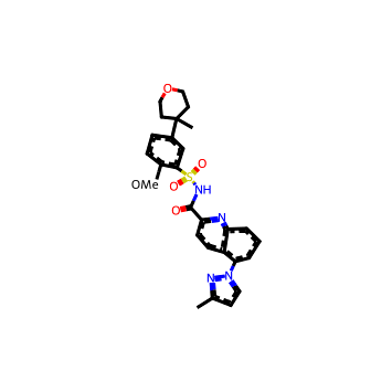 COc1ccc(C2(C)CCOCC2)cc1S(=O)(=O)NC(=O)c1ccc2c(-n3ccc(C)n3)cccc2n1